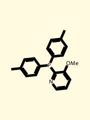 COc1cccnc1P(c1ccc(C)cc1)c1ccc(C)cc1